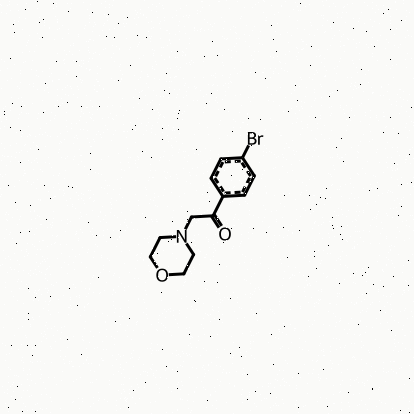 O=C(CN1CCOCC1)c1ccc(Br)cc1